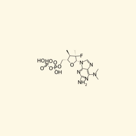 C[C@@H]1[C@@H](COP(=O)(O)OP(=O)(O)O)O[C@@H](n2cnc3c(N(C)C)nc(N)nc32)[C@]1(C)F